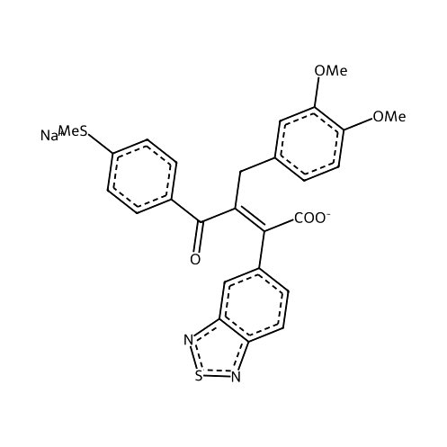 COc1ccc(CC(C(=O)c2ccc(SC)cc2)=C(C(=O)[O-])c2ccc3nsnc3c2)cc1OC.[Na+]